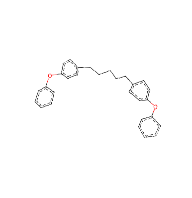 c1ccc(Oc2ccc(CCCCCc3ccc(Oc4ccccc4)cc3)cc2)cc1